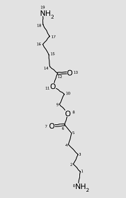 NCCCCCC(=O)OCCOC(=O)CCCCCN